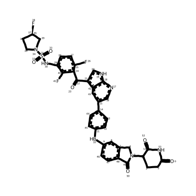 O=C1CCC(N2Cc3cc(Bc4ccc(-c5cnc6[nH]cc(C(=O)c7c(F)ccc(NS(=O)(=O)N8CC[C@@H](F)C8)c7F)c6c5)cc4)ccc3C2=O)C(=O)N1